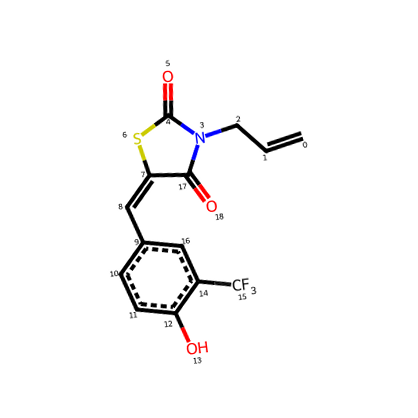 C=CCN1C(=O)SC(=Cc2ccc(O)c(C(F)(F)F)c2)C1=O